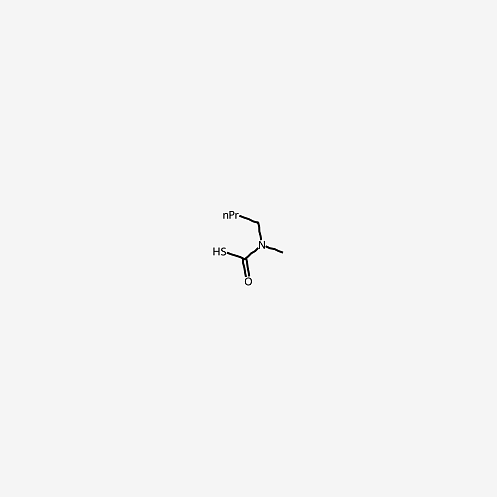 CCCCN(C)C(=O)S